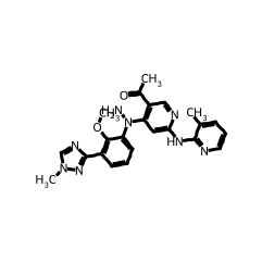 COc1c(-c2ncn(C)n2)cccc1N(N)c1cc(Nc2ncccc2C)ncc1C(C)=O